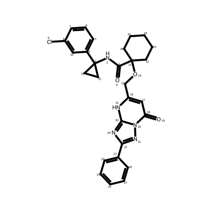 O=C(NC1(c2cccc(Cl)c2)CC1)C1(OCc2cc(=O)n3nc(-c4ccccc4)nc3[nH]2)CCCCC1